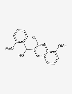 COc1ccccc1C(O)c1cc2cccc(OC)c2nc1Cl